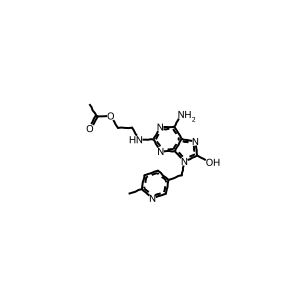 CC(=O)OCCNc1nc(N)c2nc(O)n(Cc3ccc(C)nc3)c2n1